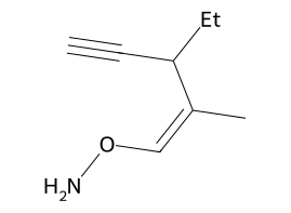 C#CC(CC)/C(C)=C\ON